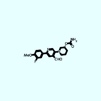 COc1ccc(-c2cc(C=O)c(N3CCC[C@@H](OC(N)=O)C3)cn2)cc1F